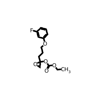 CCOC(=O)OC1(CCCOc2cccc(F)c2)CO1